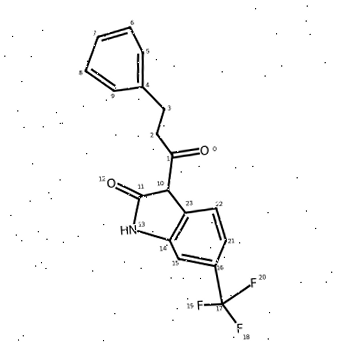 O=C(CCc1ccccc1)C1C(=O)Nc2cc(C(F)(F)F)ccc21